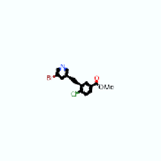 COC(=O)c1ccc(Cl)c(C#Cc2cncc(Br)c2)c1